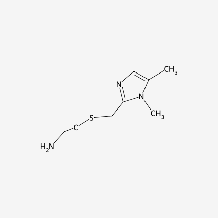 Cc1cnc(CSCCN)n1C